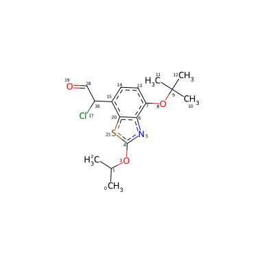 CC(C)Oc1nc2c(OC(C)(C)C)ccc(C(Cl)C=O)c2s1